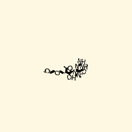 COCCOCC[C@H]1[C@@H](O)[C@H](n2c[n+](C)c3c(=O)[nH]c(N)nc32)O[C@@H]1C